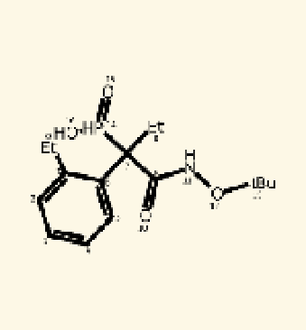 CCc1ccccc1C(CC)(C(=O)NOC(C)(C)C)[PH](=O)O